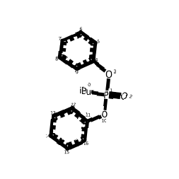 CCC(C)P(=O)(Oc1ccccc1)Oc1ccccc1